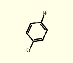 CCc1ccc([N])cc1